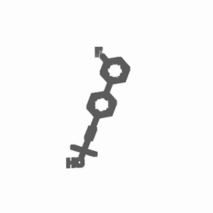 CC(C)(O)C#Cc1ccc(-c2cccc(F)c2)cc1